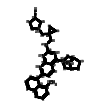 Cc1cccc2cccc(-c3ccc4c(N5CC6CCC(C5)N6)nc(OCC5(CN6CC[C@@H](F)C6)CC5)nc4n3)c12